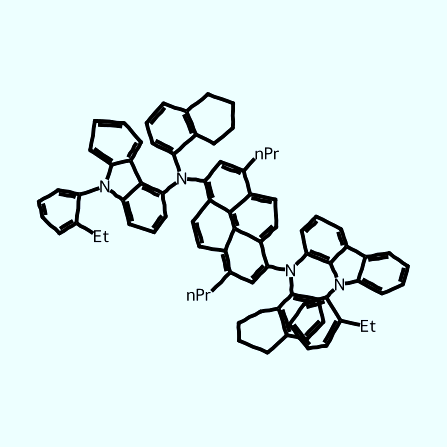 CCCc1cc(N(c2cccc3c2CCCC3)c2cccc3c2c2ccccc2n3-c2ccccc2CC)c2ccc3c(CCC)cc(N(c4cccc5c4CCCC5)c4cccc5c6ccccc6n(-c6ccccc6CC)c45)c4ccc1c2c34